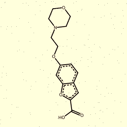 O=C(O)c1cc2ccc(OCCN3CCOCC3)cc2o1